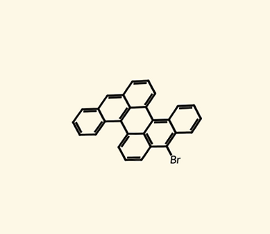 Brc1c2ccccc2c2c3cccc4cc5ccccc5c(c5cccc1c52)c43